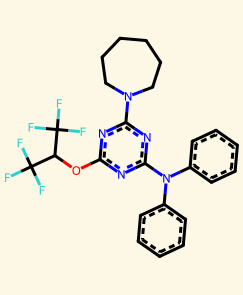 FC(F)(F)C(Oc1nc(N2CCCCCC2)nc(N(c2ccccc2)c2ccccc2)n1)C(F)(F)F